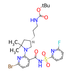 CC(C)(C)OC(=O)NCCC[C@@H]1CN(c2nc(Br)ccc2C(=O)NS(=O)(=O)c2cccc(F)n2)C(C)(C)C1